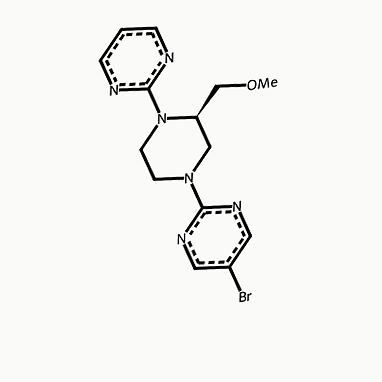 COC[C@H]1CN(c2ncc(Br)cn2)CCN1c1ncccn1